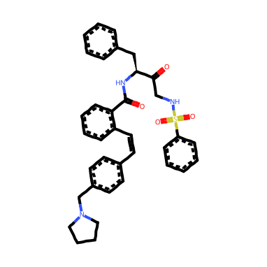 O=C(N[C@@H](Cc1ccccc1)C(=O)CNS(=O)(=O)c1ccccc1)c1ccccc1C=Cc1ccc(CN2CCCC2)cc1